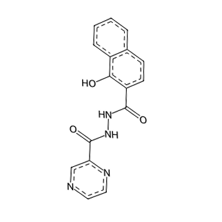 O=C(NNC(=O)c1ccc2ccccc2c1O)c1cnccn1